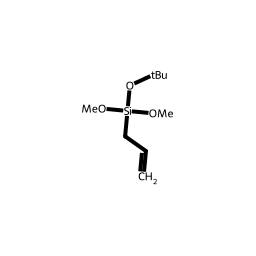 C=CC[Si](OC)(OC)OC(C)(C)C